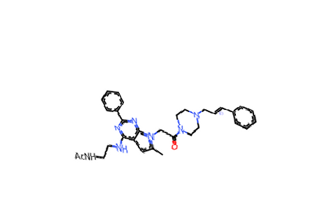 CC(=O)NCCNc1nc(-c2ccccc2)nc2c1cc(C)n2CC(=O)N1CCN(C/C=C/c2ccccc2)CC1